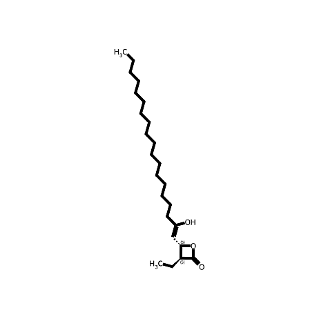 CCCCCCCCCCCCCCCCCC(O)=C[C@@H]1OC(=O)[C@H]1CC